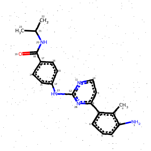 Cc1c(N)cccc1-c1ccnc(Nc2ccc(C(=O)NC(C)C)cc2)n1